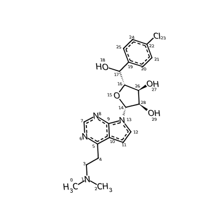 CN(C)CCc1ncnc2c1ccn2[C@@H]1O[C@H](C(O)c2ccc(Cl)cc2)[C@@H](O)[C@H]1O